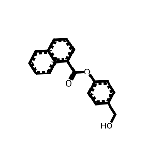 O=C(Oc1ccc(CO)cc1)c1cccc2ccccc12